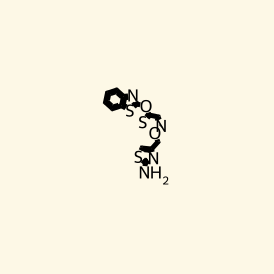 Nc1nc(CO/N=C\C(=S)Oc2nc3ccccc3s2)cs1